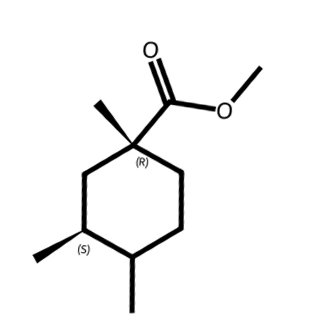 COC(=O)[C@]1(C)CCC(C)[C@@H](C)C1